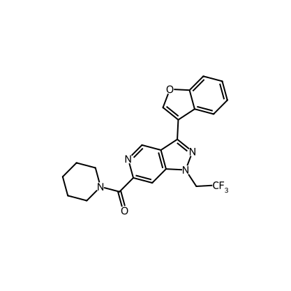 O=C(c1cc2c(cn1)c(-c1coc3ccccc13)nn2CC(F)(F)F)N1CCCCC1